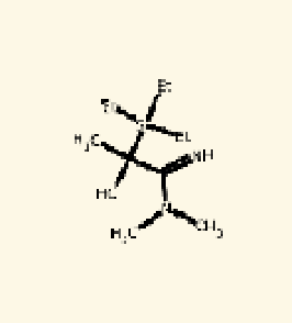 CC[Si](CC)(CC)C(C)(O)C(=N)N(C)C